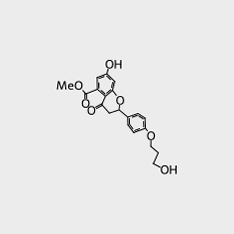 COC(=O)c1cc(O)cc2c1C(=O)CC(c1ccc(OCCCO)cc1)O2